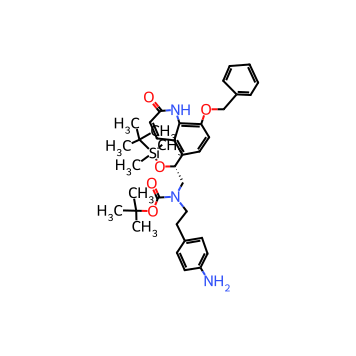 CC(C)(C)OC(=O)N(CCc1ccc(N)cc1)C[C@H](O[Si](C)(C)C(C)(C)C)c1ccc(OCc2ccccc2)c2[nH]c(=O)ccc12